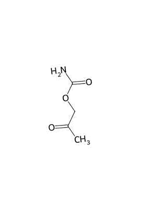 CC(=O)COC(N)=O